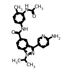 CC(=O)Nc1cc(NC(=O)c2ccc3c(c2)c(-c2ccc(N)nc2)nn3C(C)C)ccc1C